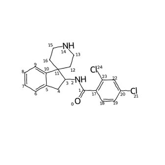 O=C(NC1Cc2ccccc2C12CCNCC2)c1ccc(Cl)cc1Cl